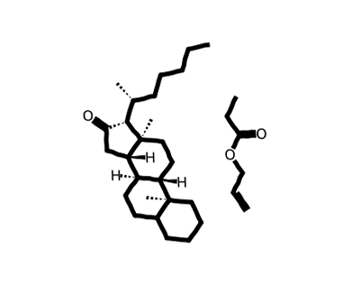 C=CCOC(=O)CC.CCCCC[C@@H](C)[C@H]1C(=O)C[C@H]2[C@@H]3CCC4CCCC[C@]4(C)[C@H]3CC[C@]12C